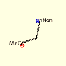 CCCCCCCCCC(CCCCCCCC/C=C\CCCCCCCC(=O)OC)N(C)C